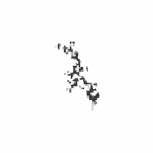 CCc1cc2n(CC(=O)Nc3ccc(F)cn3)c3c(c(=O)n2n1)CN(CC1CN(C(=O)OC(C)(C)C)C1)C3=O